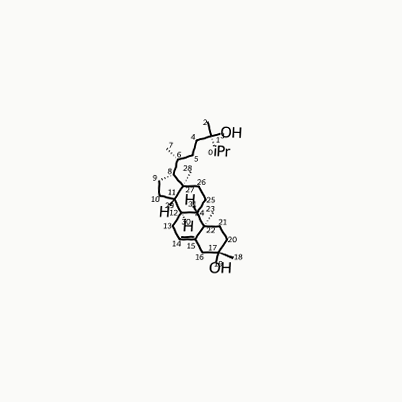 CC(C)[C@](C)(O)CC[C@@H](C)[C@H]1CC[C@H]2[C@@H]3CC=C4C[C@@](C)(O)CC[C@]4(C)[C@H]3CC[C@]12C